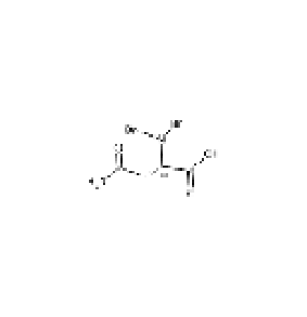 NC(=O)C[C@@H](C(=O)O)N(Br)Br